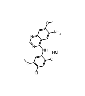 COc1cc2ncnc(Nc3cc(OC)c(Cl)cc3Cl)c2cc1N.Cl